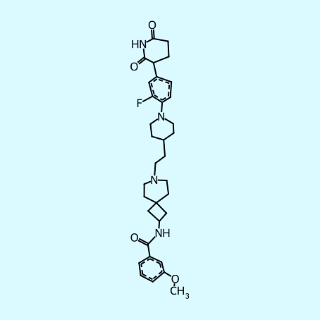 COc1cccc(C(=O)NC2CC3(CCN(CCC4CCN(c5ccc(C6CCC(=O)NC6=O)cc5F)CC4)CC3)C2)c1